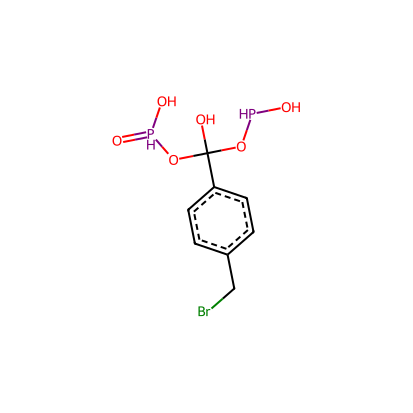 O=[PH](O)OC(O)(OPO)c1ccc(CBr)cc1